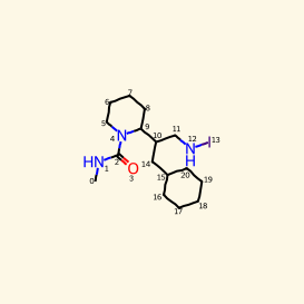 CNC(=O)N1CCCCC1C(CNI)CC1CCCCC1